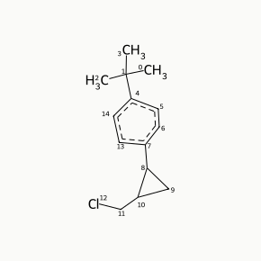 CC(C)(C)c1ccc(C2CC2CCl)cc1